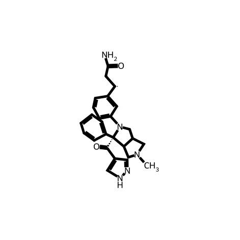 CN1CC2CN(c3cccc([CH]CC(N)=O)c3)[C@](C(=O)c3cn[nH]c3)(c3ccccc3)C2C1